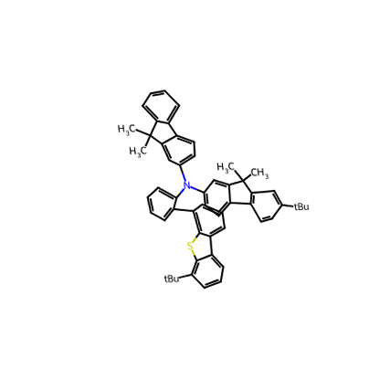 CC(C)(C)c1ccc2c(c1)C(C)(C)c1cc(N(c3ccc4c(c3)C(C)(C)c3ccccc3-4)c3ccccc3-c3cccc4c3sc3c(C(C)(C)C)cccc34)ccc1-2